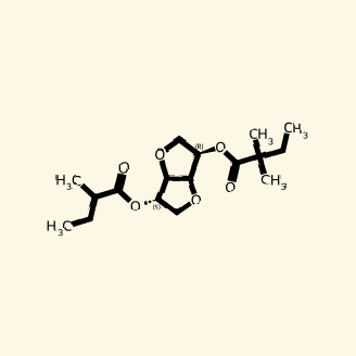 CCC(C)C(=O)O[C@H]1COC2C1OC[C@H]2OC(=O)C(C)(C)CC